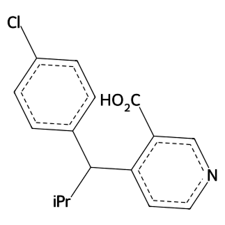 CC(C)C(c1ccc(Cl)cc1)c1ccncc1C(=O)O